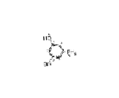 Oc1cccc(Br)c1.P